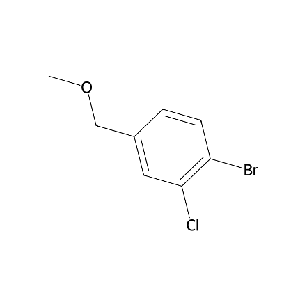 COCc1ccc(Br)c(Cl)c1